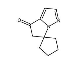 O=C1CC2(CCCC2)n2nccc21